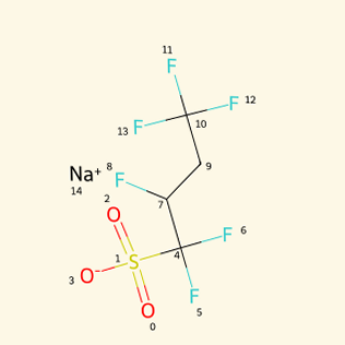 O=S(=O)([O-])C(F)(F)C(F)CC(F)(F)F.[Na+]